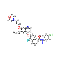 COc1cc2c(Oc3ccc4c(C(=O)Nc5ccc(Cl)cc5)cccc4c3F)ccnc2cc1OCCCN1CCOCC1